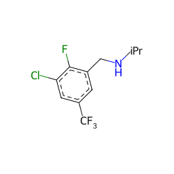 CC(C)NCc1cc(C(F)(F)F)cc(Cl)c1F